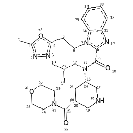 Cc1nnc(CCn2c(C(=O)N(CC(C)C)[C@@H]3CNC[C@H](C(=O)N4CCOCC4)C3)nc3ccccc32)o1